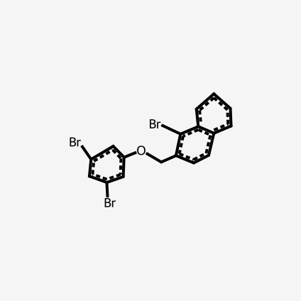 Brc1cc(Br)cc(OCc2ccc3ccccc3c2Br)c1